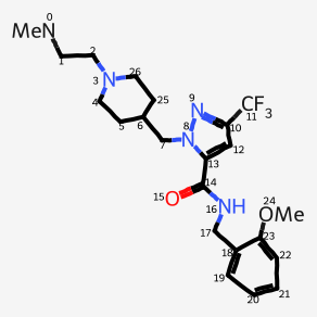 CNCCN1CCC(Cn2nc(C(F)(F)F)cc2C(=O)NCc2ccccc2OC)CC1